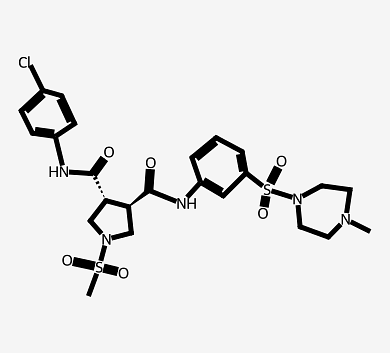 CN1CCN(S(=O)(=O)c2cccc(NC(=O)[C@H]3CN(S(C)(=O)=O)C[C@@H]3C(=O)Nc3ccc(Cl)cc3)c2)CC1